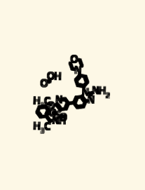 COc1ncc(-c2ccc3nc(N)n(-c4ccc(N5CCOCC5)cc4)c3c2)cc1S(=O)(=O)NC(C)c1ccccc1.O=CO